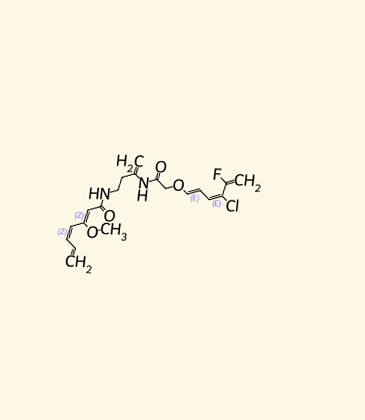 C=C/C=C\C(=C\C(=O)NCCC(=C)NC(=O)CO/C=C/C=C(/Cl)C(=C)F)OC